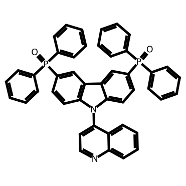 O=P(c1ccccc1)(c1ccccc1)c1ccc2c(c1)c1cc(P(=O)(c3ccccc3)c3ccccc3)ccc1n2-c1ccnc2ccccc12